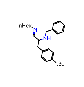 CCCCCCN=CC(Cc1ccc(C(C)(C)C)cc1)NCc1ccccc1